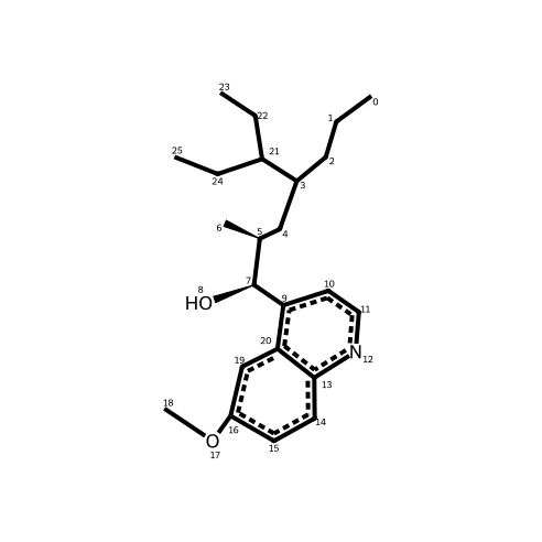 CCCC(C[C@H](C)[C@H](O)c1ccnc2ccc(OC)cc12)C(CC)CC